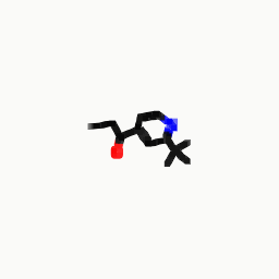 CCC(=O)c1ccnc(C(C)(C)C)c1